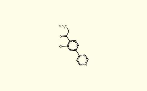 CCOC(=O)CC(=O)c1ccc(-c2ccncc2)cc1Cl